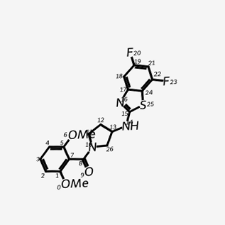 COc1cccc(OC)c1C(=O)N1CCC(Nc2nc3cc(F)cc(F)c3s2)C1